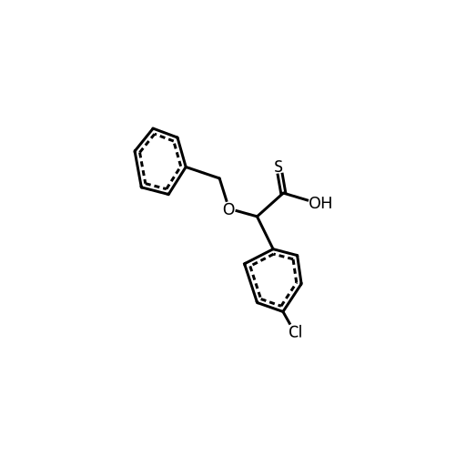 OC(=S)C(OCc1ccccc1)c1ccc(Cl)cc1